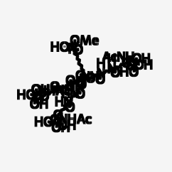 COC[C@@H]1C[C@@H](O)CN1C(=O)CCCCCCCCC(=O)NC(COCCC(=O)NCCCNC(=O)CCCCOC1OC(CO)C(O)C(O)C1NC(C)=O)(COCCC(=O)NCCCNC(=O)CCCCOC1OC(CO)C(O)C(O)C1NC(C)=O)COCCC(=O)NCCCNC(=O)CCCCOC1OC(CO)C(O)C(O)C1NC(C)=O